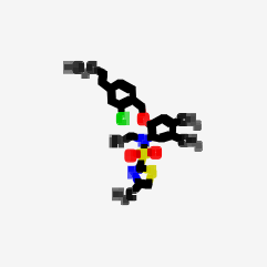 Cc1csc(S(=O)(=O)N(CC(C)C)c2cc(C)c(C)cc2OCc2ccc(C=CC(=O)O)cc2Cl)n1